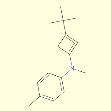 Cc1ccc(N(C)C2=C=C(C(C)(C)C)C2)cc1